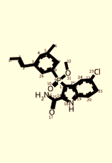 C/C=C/c1cc(C)cc(P(=O)(OC)c2c(C(N)=O)[nH]c3ccc(Cl)cc23)c1